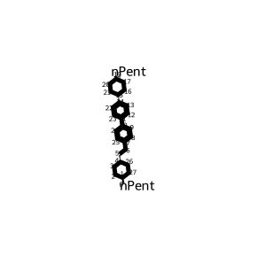 CCCCC[C@H]1CC[C@H](CCc2ccc(-c3ccc([C@H]4CC[C@H](CCCCC)CC4)cc3)cc2)CC1